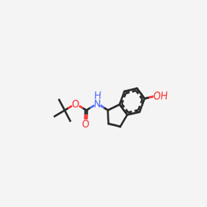 CC(C)(C)OC(=O)NC1CCc2cc(O)ccc21